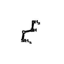 BBO[SiH3]